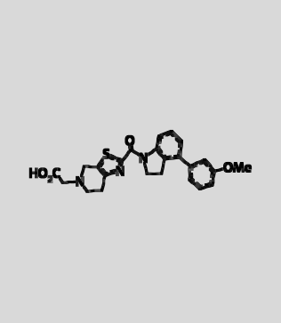 COc1cccc(-c2cccc3c2CCN3C(=O)c2nc3c(s2)CN(CC(=O)O)CC3)c1